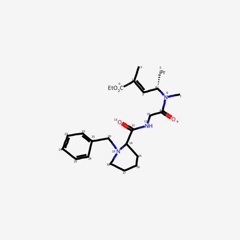 CCOC(=O)/C(C)=C/[C@H](C(C)C)N(C)C(=O)CNC(=O)C1CCCCN1Cc1ccccc1